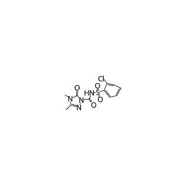 Cc1nn(C(=O)NS(=O)(=O)c2ccccc2Cl)c(=O)n1C